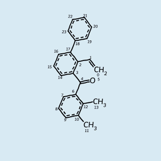 C=Cc1c(C(=O)c2cccc(C)c2C)cccc1-c1ccccc1